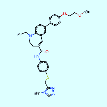 CCCCOCCOc1ccc(-c2ccc3c(c2)C=C(C(=O)Nc2ccc(SCc4nncn4CCC)cc2)CCN3CC(C)C)cc1